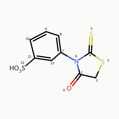 O=C1CSC(=S)N1c1cccc(S(=O)(=O)O)c1